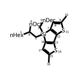 CCCCCCCCCCC[Si]1(CC(CCCCCC)CCCCCCCC)c2cc(C)sc2-c2sc(C)cc21